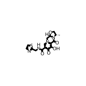 C[C@H]1CO[C@@H]2Cn3cc(C(=O)NCc4nccs4)c(=O)c(O)c3C(=O)N12